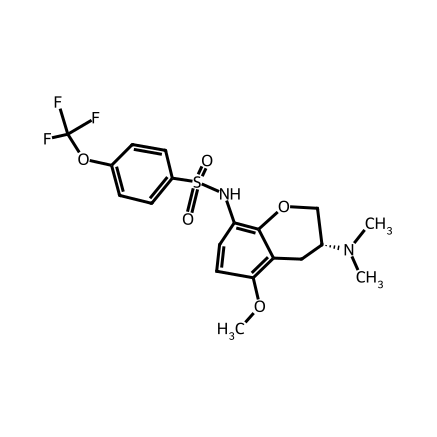 COc1ccc(NS(=O)(=O)c2ccc(OC(F)(F)F)cc2)c2c1C[C@@H](N(C)C)CO2